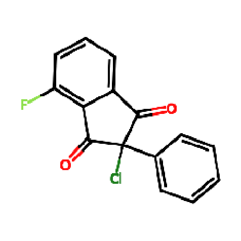 O=C1c2cccc(F)c2C(=O)C1(Cl)c1ccccc1